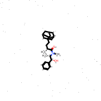 C[C@H](CCC12CC3CC(CC(C3)C1)C2)C(=O)N(C)[C@@H](C)[C@H](O)c1ccccc1